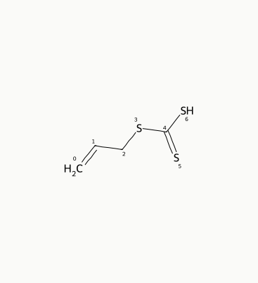 C=CCSC(=S)S